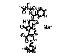 CC(=O)N(C)C(=O)NC(C(=O)NC1C(=O)N2C(C(=O)[O-])=C(CSc3nnnn3C)CS[C@@H]12)c1ccccc1.[Na+]